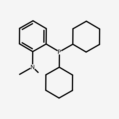 CN(C)c1ccccc1P(C1CCCCC1)C1CCCCC1